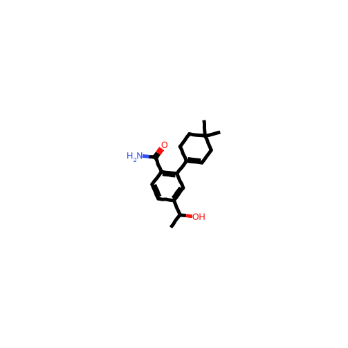 CC(O)c1ccc(C(N)=O)c(C2=CCC(C)(C)CC2)c1